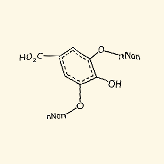 CCCCCCCCCOc1cc(C(=O)O)cc(OCCCCCCCCC)c1O